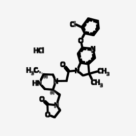 C[C@@H]1CN(CC(=O)N2CC(C)(C)c3cnc(Oc4ccccc4Cl)cc32)[C@@H](CN2CCOC2=O)CN1.Cl